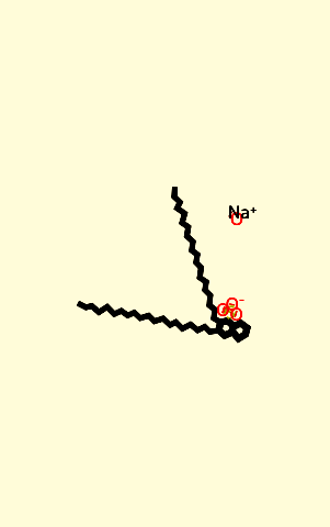 C=O.CCCCCCCCCCCCCCCCCCCCc1cc2ccccc2c(S(=O)(=O)[O-])c1CCCCCCCCCCCCCCCCCCCC.[Na+]